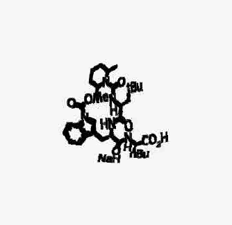 CCCC[C@@H](NC(=O)[C@@H](Cc1cn(C(=O)OC)c2ccccc12)NC(=O)[C@H](CC(C)(C)C)NC(=O)N1C(C)CCCC1C)C(=O)O.[NaH]